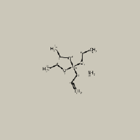 C=CC[Si](OCC)(OCC)OCC.N